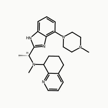 C[C@H](c1nc2c(N3CCN(C)CC3)cccc2[nH]1)N(C)C1CCCc2cccnc21